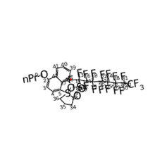 CCCOc1ccc(S2(OS(=O)(=O)C(F)(F)C(F)(F)C(F)(F)C(F)(F)C(F)(F)C(F)(F)C(F)(F)C(F)(F)F)CCCC2)c2ccccc12